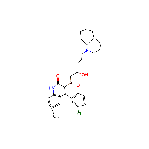 O=c1[nH]c2ccc(C(F)(F)F)cc2c(-c2cc(Cl)ccc2O)c1SCC(O)CCCN1CCCC2CCCCC21